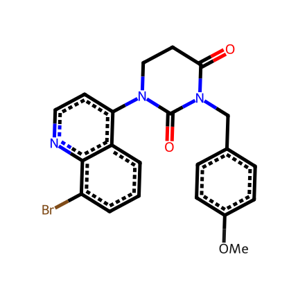 COc1ccc(CN2C(=O)CCN(c3ccnc4c(Br)cccc34)C2=O)cc1